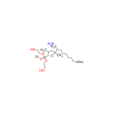 CCCCCCCCCCCCCCCCC(C)C(C)(Cl)CC(C)C[Si](OCC)(OCCO)OCCO.N